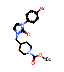 CC(C)(C)OC(=O)N1CCC(Cn2ccn(-c3ccc(Br)cc3)c2=O)CC1